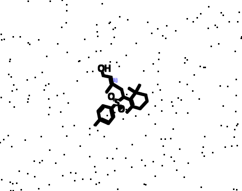 CC1=C(C(C/C(C)=C/CO)S(=O)(=O)c2ccc(C)cc2)C(C)(C)CCC1